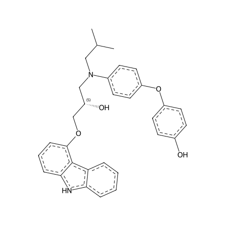 CC(C)CN(C[C@H](O)COc1cccc2[nH]c3ccccc3c12)c1ccc(Oc2ccc(O)cc2)cc1